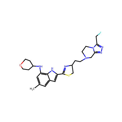 Cc1cc(NC2CCOCC2)c2[nH]c(C3=NC(CCN4CCn5c(CF)nnc5C4)CS3)cc2c1